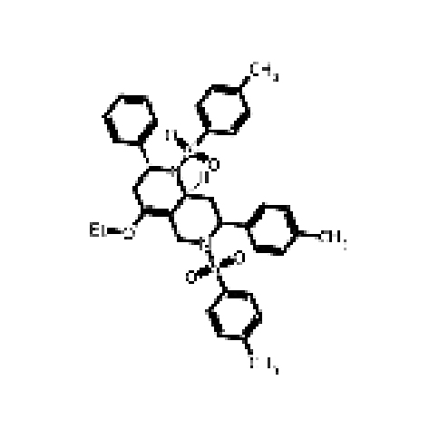 CCOC1=C2CN(S(=O)(=O)c3ccc(C)cc3)[C@H](c3ccc(C)cc3)C[C@@H]2N(S(=O)(=O)c2ccc(C)cc2)[C@H](c2ccccc2)C1